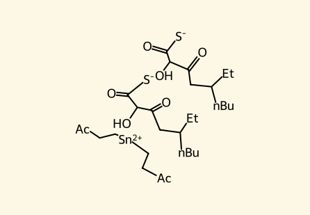 CC(=O)C[CH2][Sn+2][CH2]CC(C)=O.CCCCC(CC)CC(=O)C(O)C(=O)[S-].CCCCC(CC)CC(=O)C(O)C(=O)[S-]